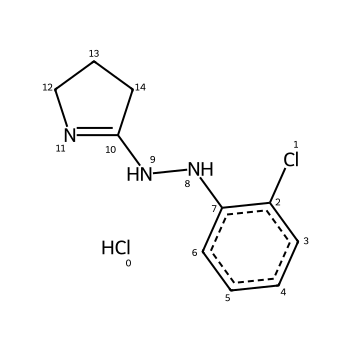 Cl.Clc1ccccc1NNC1=NCCC1